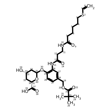 C=CSCCCCCC(=O)NCCC(=O)Nc1cc(COC(=O)C(C)(C)C)ccc1OC1C[C@@H](O)C[C@@H](C(=O)O)O1